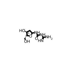 N=C(N)NC(=O)NC1C[C@H](O)[C@@H](CO)O1